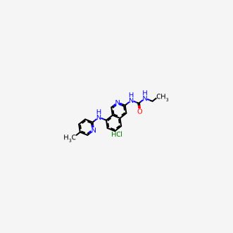 CCNC(=O)Nc1cc2cccc(Nc3ccc(C)cn3)c2cn1.Cl